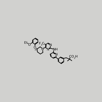 CCOc1ccccc1O[C@@H]1CCCN(c2nc(Nc3cccc(-c4cccc(CC(C)(C)C(=O)O)c4)n3)ncc2C(F)(F)F)C1